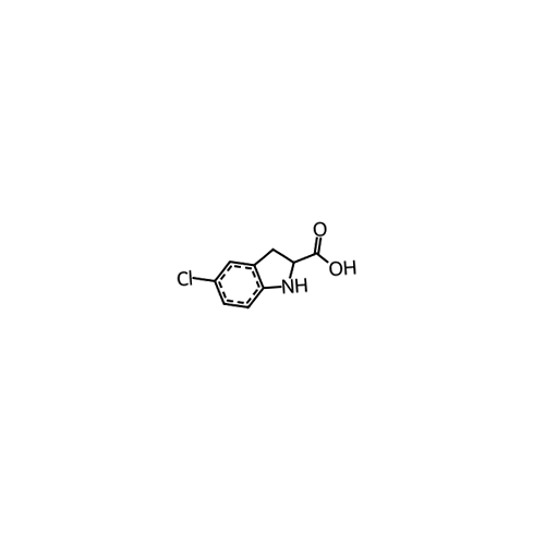 O=C(O)C1Cc2cc(Cl)ccc2N1